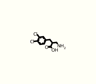 NCC(Cc1ccc(Cl)c(Cl)c1)C(=O)O